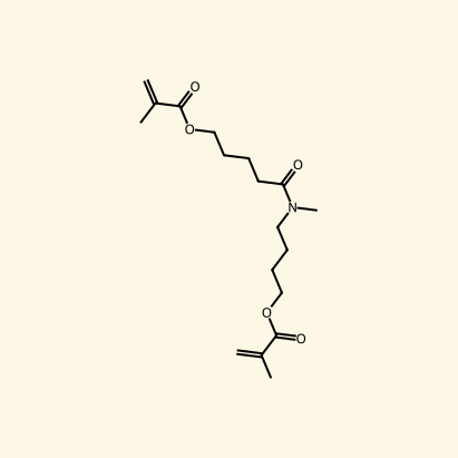 C=C(C)C(=O)OCCCCC(=O)N(C)CCCCOC(=O)C(=C)C